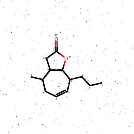 CCCC1C=CCC(C)C2CC(=O)OC12